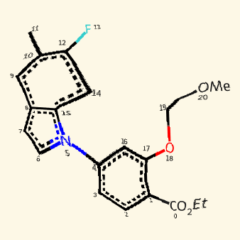 CCOC(=O)c1ccc(-n2ccc3cc(C)c(F)cc32)cc1OCOC